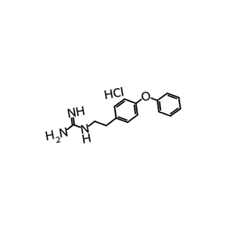 Cl.N=C(N)NCCc1ccc(Oc2ccccc2)cc1